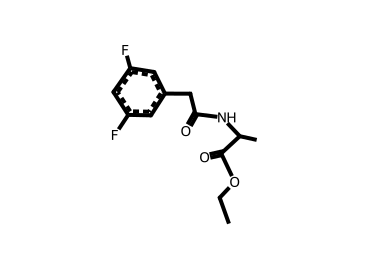 CCOC(=O)C(C)NC(=O)Cc1cc(F)cc(F)c1